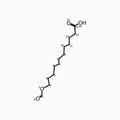 O=COCCCCCCCCCCCC(=O)O